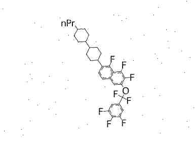 CCCC1CCC(C2CCC(c3ccc4cc(OC(F)(F)c5cc(F)c(F)c(F)c5)c(F)c(F)c4c3F)CC2)CC1